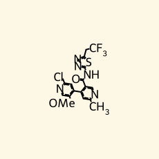 COc1cnc(Cl)cc1-c1cc(C)ncc1C(=O)Nc1nnc(CC(F)(F)F)s1